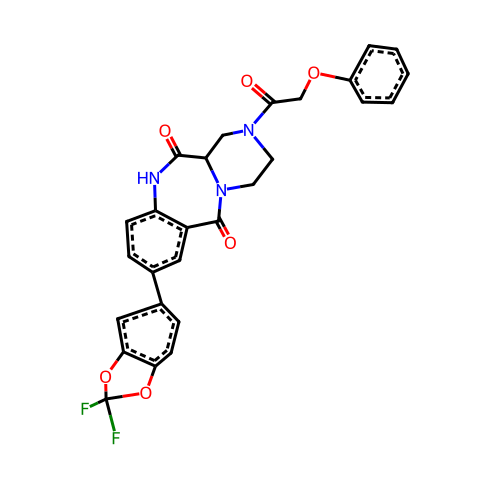 O=C1Nc2ccc(-c3ccc4c(c3)OC(F)(F)O4)cc2C(=O)N2CCN(C(=O)COc3ccccc3)CC12